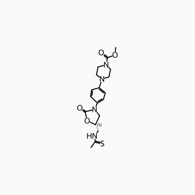 COC(=O)N1CCN(c2ccc(N3C[C@H](CNC(C)=S)OC3=O)cc2)CC1